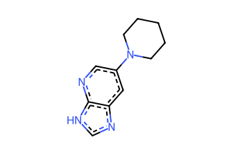 c1nc2cc(N3CCCCC3)cnc2[nH]1